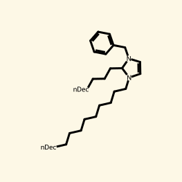 CCCCCCCCCCCCCCCCCCCN1C=CN(Cc2ccccc2)C1CCCCCCCCCCCCC